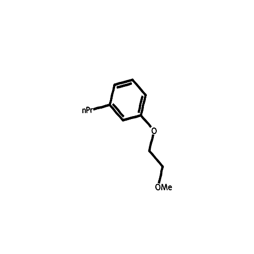 CCCc1cccc(OCCOC)c1